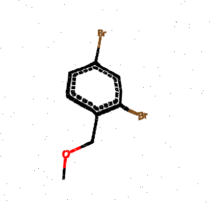 COCc1ccc(Br)cc1Br